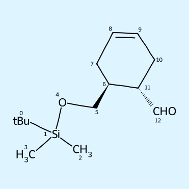 CC(C)(C)[Si](C)(C)OC[C@H]1CC=CC[C@@H]1C=O